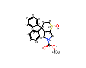 CC(C)(C)OC(=O)N1CC2C(C1)C(c1ccccc1)(c1ccccc1)CC[S+]2[O-]